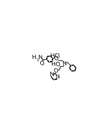 Cl.NC(=O)c1ccc(OCCN(Cc2ccccc2)CC(O)COc2ncccn2)cc1